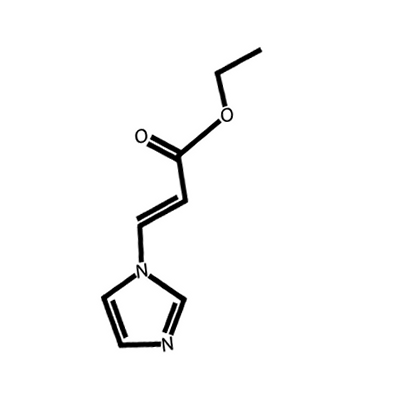 CCOC(=O)/C=C/n1ccnc1